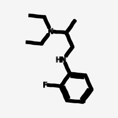 CCN(CC)C(C)CNc1cc[c]cc1F